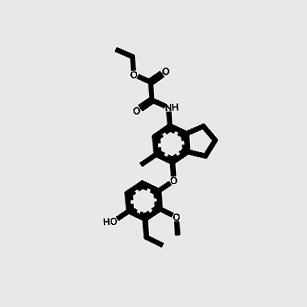 CCOC(=O)C(=O)Nc1cc(C)c(Oc2ccc(O)c(CC)c2OC)c2c1CCC2